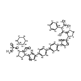 CCN(CC)C(C(=O)N1CCCC1c1ncc(-c2ccc(-c3ccc(-c4cnc(C5CCCN5C(=O)[C@H]5CCCC[C@H]5OC(N)=O)[nH]4)cc3)cc2)[nH]1)c1ccccc1